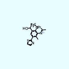 CCC/C(C)=N\c1c(C)c(-c2nccs2)cc(C(O)CC)c1OC(F)(F)F